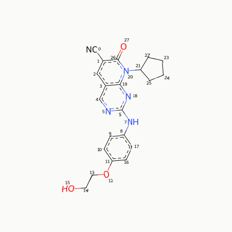 N#Cc1cc2cnc(Nc3ccc(OCCO)cc3)nc2n(C2CCCC2)c1=O